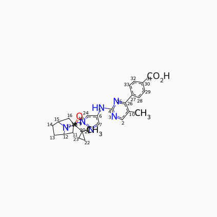 Cc1cnc(Nc2cnn(C3CC4CCC(C3)N4C(=O)C3(C)CC3)c2)nc1-c1ccc(C(=O)O)cc1